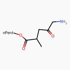 CCCCCOC(=O)C(C)CC(=O)CN